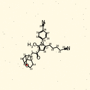 Cc1c(C(=O)CN2C3CC4CC2CC(C3)O4)cc(CCCCC#N)n1-c1ccc(C#N)cc1